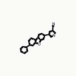 N#Cc1cncc(-c2ccc3c(c2)oc2cc(-c4ccccc4)ccc23)c1